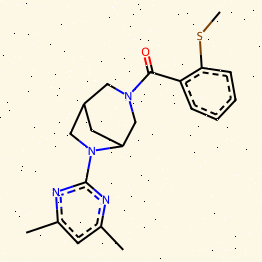 CSc1ccccc1C(=O)N1CC2CC(C1)N(c1nc(C)cc(C)n1)C2